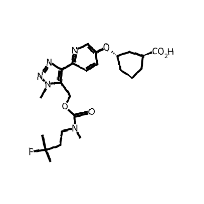 CN(CCC(C)(C)F)C(=O)OCc1c(-c2ccc(O[C@H]3CCC[C@H](C(=O)O)C3)cn2)nnn1C